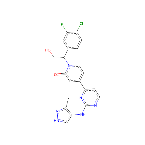 Cc1n[nH]cc1Nc1nccc(-c2ccn(C(CO)c3ccc(Cl)c(F)c3)c(=O)c2)n1